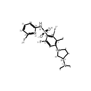 Cc1c(N2CC[C@@H](N(C)C)C2)cc(F)c(S(=O)(=O)Nc2cccc(F)n2)c1F